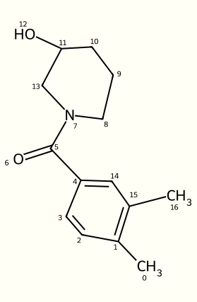 Cc1ccc(C(=O)N2CCCC(O)C2)cc1C